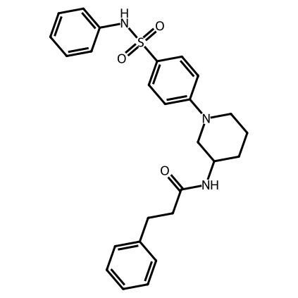 O=C(CCc1ccccc1)NC1CCCN(c2ccc(S(=O)(=O)Nc3ccccc3)cc2)C1